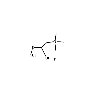 CCCCSC(O)C[N+](C)(C)C.[I-]